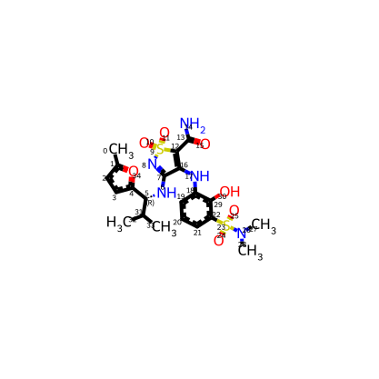 Cc1ccc([C@H](NC2=NS(=O)(=O)C(C(N)=O)=C2Nc2cccc(S(=O)(=O)N(C)C)c2O)C(C)C)o1